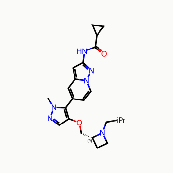 CC(C)CN1CC[C@@H]1COc1cnn(C)c1-c1ccn2nc(NC(=O)C3CC3)cc2c1